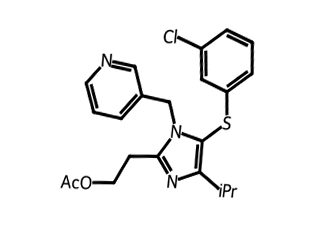 CC(=O)OCCc1nc(C(C)C)c(Sc2cccc(Cl)c2)n1Cc1cccnc1